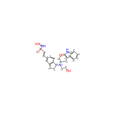 O=C(/C=C/c1ccc2c(c1)CCC2N(CCO)C(CO)Cc1c[nH]c2ccccc12)NO